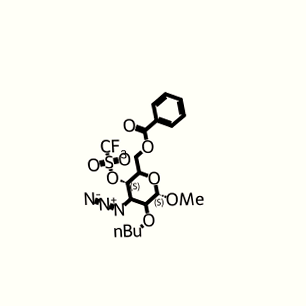 CCCCOC1C(N=[N+]=[N-])[C@H](OS(=O)(=O)C(F)(F)F)C(COC(=O)c2ccccc2)O[C@@H]1OC